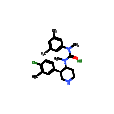 Cc1cc([C@@H]2CNCC[C@H]2N(C)C(=O)N(C)c2cc(C(F)(F)F)cc(C(F)(F)F)c2)ccc1Cl.Cl